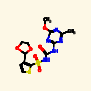 COc1nc(C)nc(NC(=O)NS(=O)(=O)c2sccc2C2OCCO2)n1